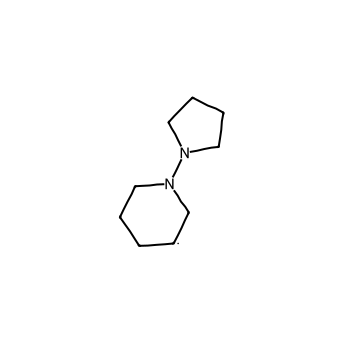 [CH]1CCCN(N2CCCC2)C1